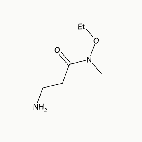 CCON(C)C(=O)CCN